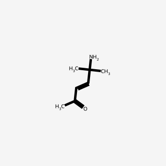 CC(=O)/C=C/C(C)(C)N